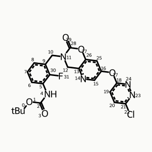 CC(C)(C)OC(=O)Nc1cccc(CN2Cc3ncc(Oc4ccc(Cl)nn4)cc3OC2=O)c1F